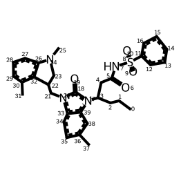 CCCC(CC(=O)NS(=O)(=O)c1ccccc1)n1c(=O)n(CC2CN(C)c3cccc(C)c32)c2ccc(C)cc21